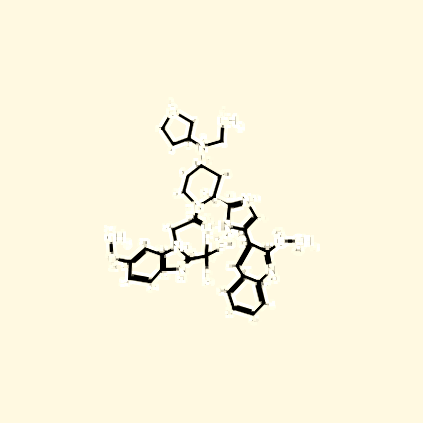 CCN(C1CCOC1)[C@H]1CCN(C(=O)Cn2c(C(F)(F)F)nc3ccc(OC)cc32)[C@H](c2ncc(-c3cc4ccccc4nc3OC)[nH]2)C1